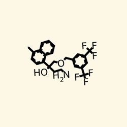 Cc1ccc(C(O)(CCN)COCc2cc(C(F)(F)F)cc(C(F)(F)F)c2)c2ccccc12